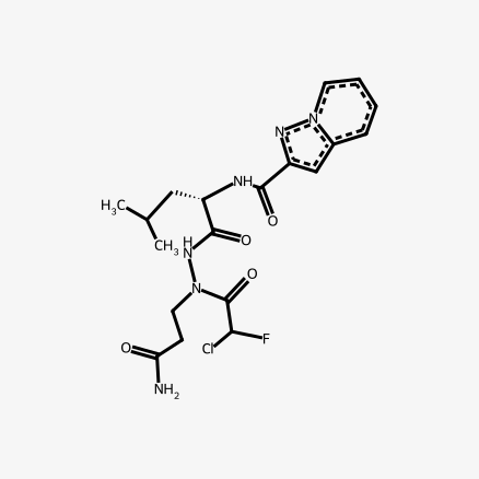 CC(C)C[C@H](NC(=O)c1cc2ccccn2n1)C(=O)NN(CCC(N)=O)C(=O)C(F)Cl